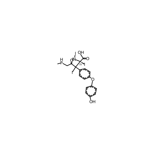 CPCC(=O)C(I)(c1ccc(Oc2ccc(O)cc2)cc1)[C@@](I)(C(=O)O)N(I)I